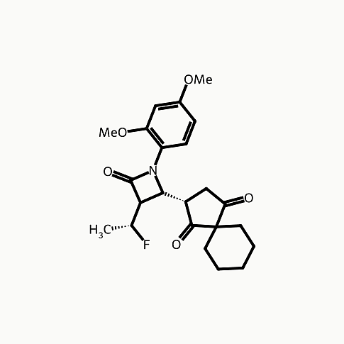 COc1ccc(N2C(=O)C([C@@H](C)F)C2[C@@H]2CC(=O)C3(CCCCC3)C2=O)c(OC)c1